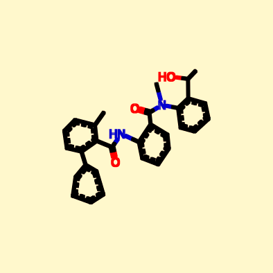 Cc1cccc(-c2ccccc2)c1C(=O)Nc1ccccc1C(=O)N(C)c1ccccc1C(C)O